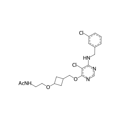 CC(=O)NCCOC1CC(COc2ncnc(NCc3cccc(Cl)c3)c2Cl)C1